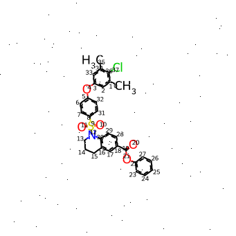 Cc1cc(Oc2ccc(S(=O)(=O)N3CCCc4cc(C(=O)Oc5ccccc5)ccc43)cc2)cc(C)c1Cl